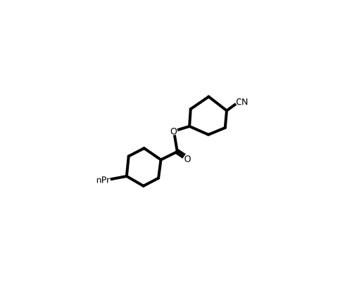 CCCC1CCC(C(=O)OC2CCC(C#N)CC2)CC1